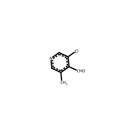 Cc1cncc(Cl)c1C=O